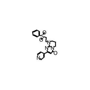 O=c1cc(-c2ccncc2)nc2n1CCCN2CCS(=O)(=O)c1ccccc1